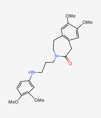 COc1ccc(NCCCN2CCc3cc(OC)c(OC)cc3CC2=O)cc1OC